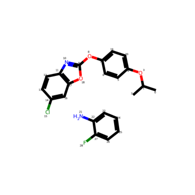 CC(C)Oc1ccc(Oc2nc3ccc(Cl)cc3o2)cc1.Nc1ccccc1F